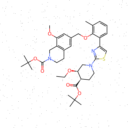 CCO[C@H]1CN(c2nc(-c3cccc(C)c3OCc3cc4c(c(OC)c3)CN(C(=O)OC(C)(C)C)CC4)cs2)CC[C@H]1C(=O)OC(C)(C)C